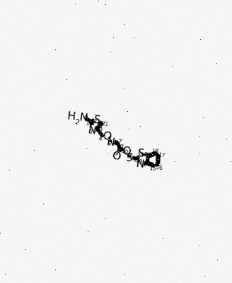 Nc1nc(CON=CC(=O)OSc2nc3ccccc3s2)cs1